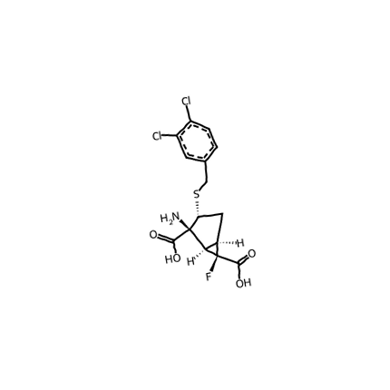 N[C@]1(C(=O)O)[C@H]2[C@@H](C[C@H]1SCc1ccc(Cl)c(Cl)c1)[C@]2(F)C(=O)O